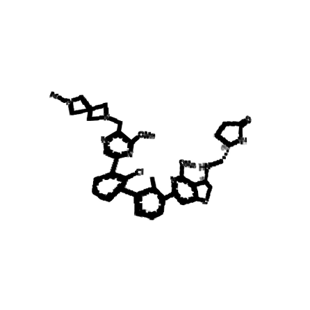 COc1nc(-c2cccc(-c3cccc(-c4cc5c(c(OC)n4)[C@@H](NC[C@@H]4CCC(=O)N4)CO5)c3C)c2Cl)cnc1CN1CC2(C1)CN(C(C)=O)C2